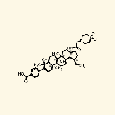 C=C[C@@H]1CC[C@]2(NC(=O)CN3CCS(=O)(=O)CC3)CC[C@]3(C)C(CCC4[C@@]5(C)CC=C(c6ccc(C(=O)O)cc6)C(C)(C)C5CC[C@]43C)C12